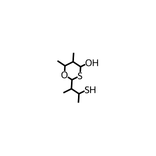 CC(S)C(C)C1OC(C)C(C)C(O)S1